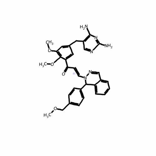 COCc1ccc(C2c3ccccc3C=NN2/C=C/C(=O)c2cc(Cc3cnc(N)nc3N)cc(OC)c2OC)cc1